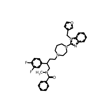 CN(CC(CCN1CCCN(c2nc3ccccc3n2Cc2ccoc2)CC1)c1ccc(F)c(F)c1)C(=O)c1ccccc1